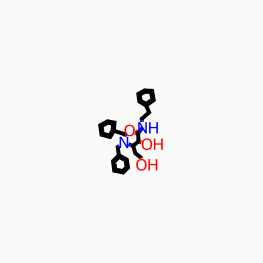 O=C(NCCc1ccccc1)C(O)C(CCO)N(Cc1ccccc1)Cc1ccccc1